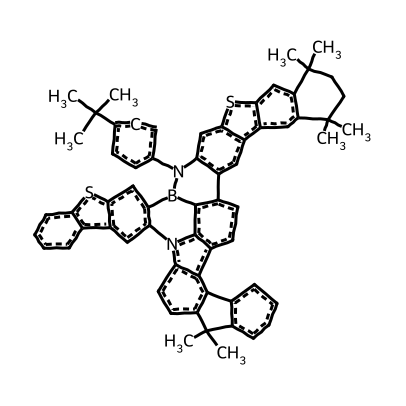 CC(C)(C)c1ccc(N2B3c4cc5sc6ccccc6c5cc4-n4c5ccc6c(c5c5ccc(c3c54)-c3cc4c(cc32)sc2cc3c(cc24)C(C)(C)CCC3(C)C)-c2ccccc2C6(C)C)cc1